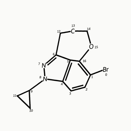 Brc1ccc2c3c(nn2C2CC2)CCCOc13